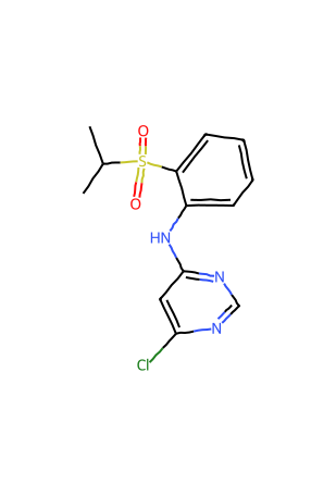 CC(C)S(=O)(=O)c1ccccc1Nc1cc(Cl)ncn1